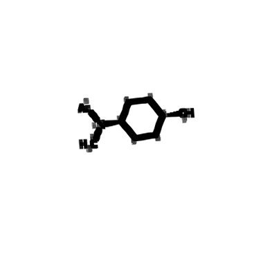 CC(=O)N(C)[C@H]1CC[C@H](O)CC1